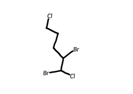 ClCCCC(Br)C(Cl)Br